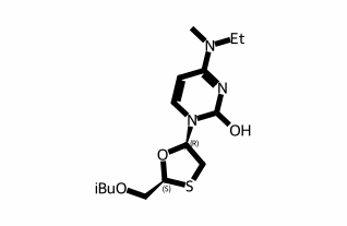 CCN(C)C1=NC(O)N([C@H]2CS[C@@H](COCC(C)C)O2)C=C1